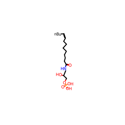 CCCC/C=C\CCCCCCCC(=O)NCC(O)COP(=O)(O)O